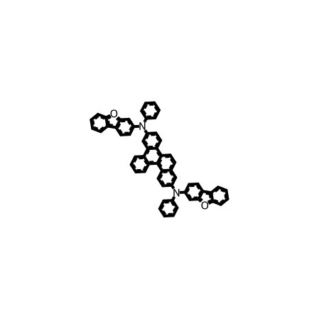 c1ccc(N(c2ccc3c(ccc4c5ccc(N(c6ccccc6)c6ccc7c(c6)oc6ccccc67)cc5c5ccccc5c34)c2)c2ccc3c(c2)oc2ccccc23)cc1